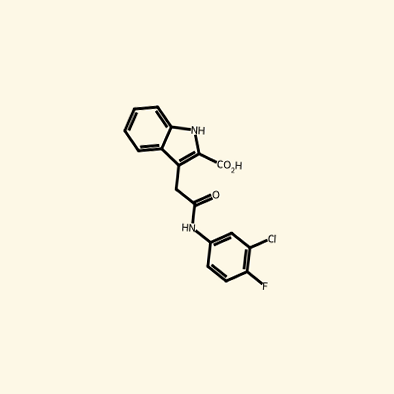 O=C(Cc1c(C(=O)O)[nH]c2ccccc12)Nc1ccc(F)c(Cl)c1